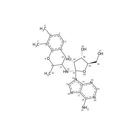 Cc1ccc2c(c1C)OC(C)C(N[C@@]1(n3cnc4c(N)ncnc43)O[C@H](CO)[C@@H](O)[C@H]1O)C2